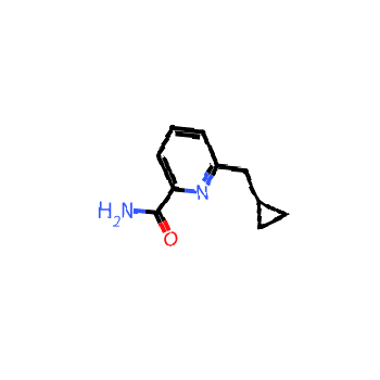 NC(=O)c1cccc(CC2CC2)n1